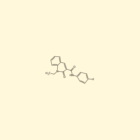 CCn1c(=O)c(C(=O)Nc2ccc(F)cc2)cc2ccccc21